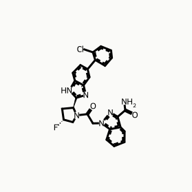 NC(=O)c1nn(CC(=O)N2C[C@H](F)C[C@H]2c2nc3cc(-c4ccccc4Cl)ccc3[nH]2)c2ccccc12